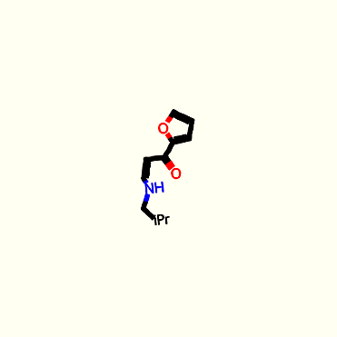 CC(C)CN/C=C\C(=O)c1ccco1